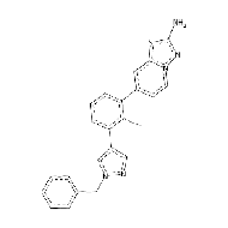 Nc1nc2cc(-c3cccc(-c4cnn(Cc5ccccc5)c4)c3F)ccn2n1